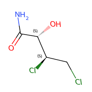 NC(=O)[C@H](O)[C@H](Cl)CCl